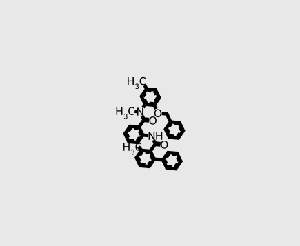 Cc1ccc(OCc2ccccc2)c(N(C)C(=O)c2ccccc2NC(=O)c2c(C)cccc2-c2ccccc2)c1